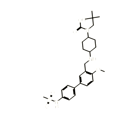 COc1ccc(-c2ccc(NS(C)(=O)=O)cc2)cc1CNC1CCC(N(CC(C)(C)C)C(=O)O)CC1